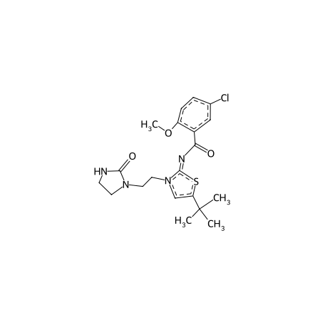 COc1ccc(Cl)cc1C(=O)N=c1sc(C(C)(C)C)cn1CCN1CCNC1=O